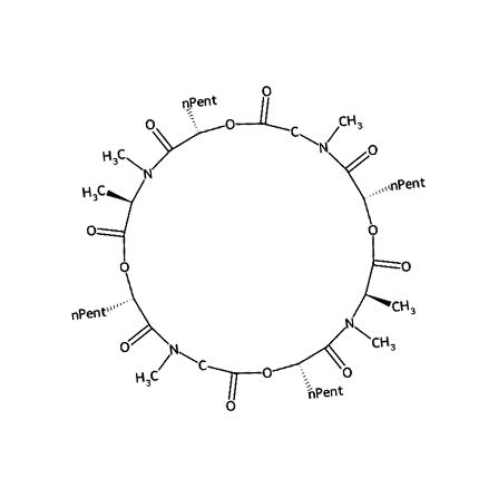 CCCCC[C@@H]1OC(=O)[C@@H](C)N(C)C(=O)[C@H](CCCCC)OC(=O)CN(C)C(=O)[C@H](CCCCC)OC(=O)[C@@H](C)N(C)C(=O)[C@H](CCCCC)OC(=O)CN(C)C1=O